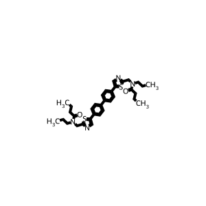 CCCC(=O)N(CCC)Cc1ncc(-c2ccc(-c3ccc(-c4cnc(CN(CCC)C(=O)CCC)s4)cc3)cc2)s1